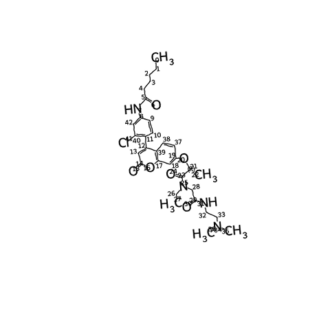 CCCCCC(=O)Nc1ccc(-c2cc(=O)oc3cc(O[C@H](C)C(=O)N(CC)CC(=O)NCCN(C)C)ccc23)c(Cl)c1